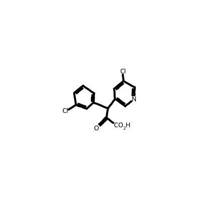 O=C(O)C(=O)C(c1cccc(Cl)c1)c1cncc(Cl)c1